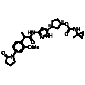 COc1cc(N2CCCC2=O)ccc1C(C)C(=O)Nc1cc([C@H]2CC[C@@H](OC(=O)NC3(C)CC3)C2)[nH]n1